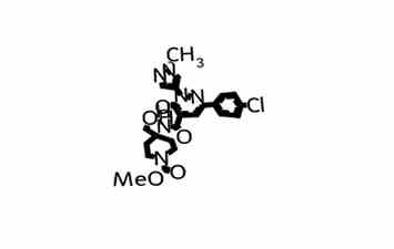 COC(=O)N1CCC(CO)(NC(=O)c2cc(-c3ccc(Cl)cc3)nn(-c3cnn(C)c3)c2=O)CC1